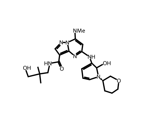 CNc1cc(NC2=CC=CN([C@@H]3CCCOC3)C2O)nc2c(C(=O)NCC(C)(C)CO)cnn12